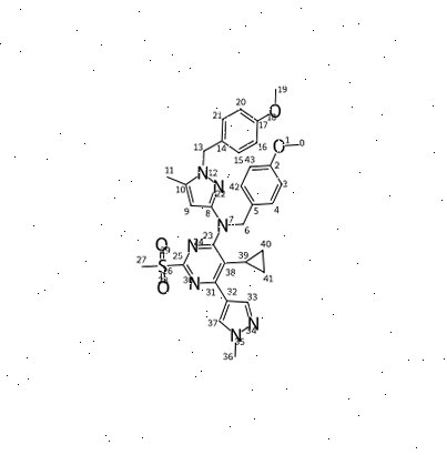 COc1ccc(CN(c2cc(C)n(Cc3ccc(OC)cc3)n2)c2nc(S(C)(=O)=O)nc(-c3cnn(C)c3)c2C2CC2)cc1